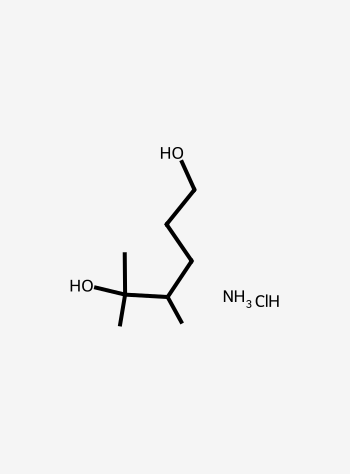 CC(CCCO)C(C)(C)O.Cl.N